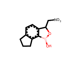 O=[N+]([O-])CC1OB(O)c2c1ccc1c2CCC1